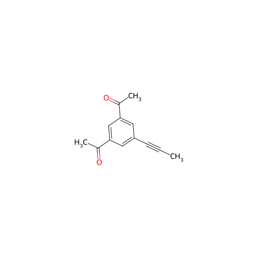 CC#Cc1cc(C(C)=O)cc(C(C)=O)c1